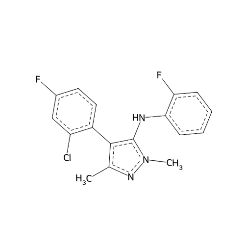 Cc1nn(C)c(Nc2ccccc2F)c1-c1ccc(F)cc1Cl